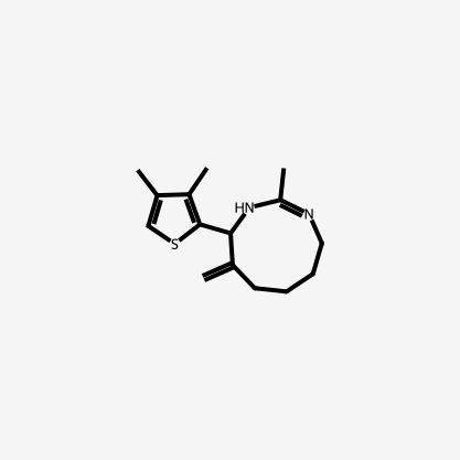 C=C1CCCC/N=C(/C)NC1c1scc(C)c1C